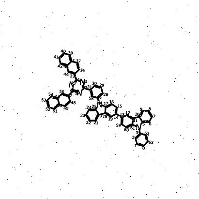 c1ccc(-n2c3ccccc3c3cc(-c4ccc5c(c4)c4ccccc4n5-c4cccc(-c5nc(-c6ccc7ccccc7c6)nc(-c6ccc7ccccc7c6)n5)c4)ccc32)cc1